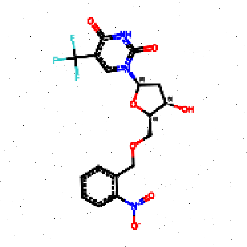 O=c1[nH]c(=O)n([C@H]2C[C@H](O)[C@@H](COCc3ccccc3[N+](=O)[O-])O2)cc1C(F)(F)F